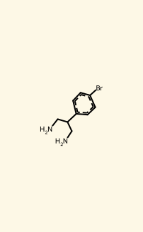 NCC(CN)c1ccc(Br)cc1